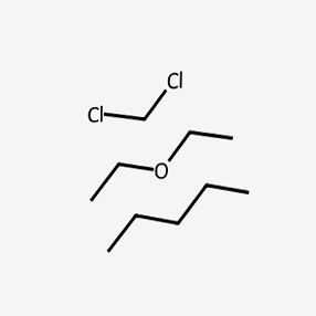 CCCCC.CCOCC.ClCCl